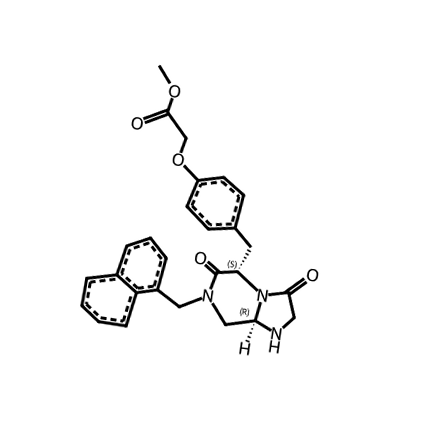 COC(=O)COc1ccc(C[C@H]2C(=O)N(Cc3cccc4ccccc34)C[C@@H]3NCC(=O)N32)cc1